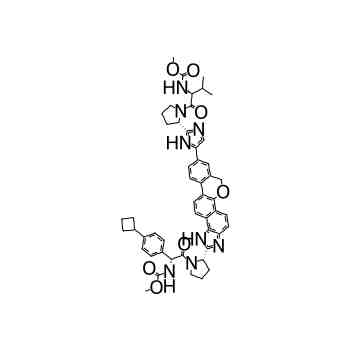 COC(=O)N[C@H](C(=O)N1CCC[C@H]1c1ncc(-c2ccc3c(c2)COc2c-3ccc3c2ccc2nc([C@@H]4CCCN4C(=O)[C@H](NC(=O)OC)c4ccc(C5CCC5)cc4)[nH]c23)[nH]1)C(C)C